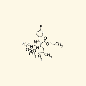 CCCOC(=O)c1c(CC(C)C)nc(N(C)S(C)(=O)=O)nc1-c1ccc(F)cc1